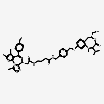 Cc1sc2c(c1C)C(c1ccc(Cl)cc1)=N[C@@H](CC(=O)NCCCC(=O)NCc1ccc(COc3ccc4c(c3)N(C)C(C(C)C)C(=O)N[C@H](CO)C4)cc1)c1nnc(C)n1-2